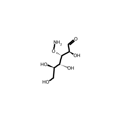 NO[C@@H]([C@H](O)[C@H](O)CO)[C@H](O)C=O